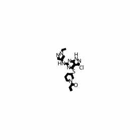 C=CC(=O)N1CCC[C@@H](Sc2nc(Nc3cnn(CC)c3)nc3[nH]nc(Cl)c23)C1